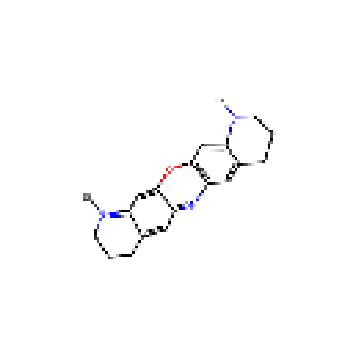 CCN1CCCc2cc3c(cc21)Oc1cc2c(cc1=N3)CCC[N+]=2CC